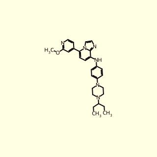 CCC(CC)N1CCN(c2ccc(Nc3ccc(-c4ccnc(OC)c4)n4ccnc34)cc2)CC1